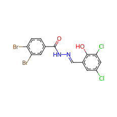 O=C(NN=Cc1cc(Cl)cc(Cl)c1O)c1ccc(Br)c(Br)c1